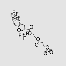 O=C(CCO[N+](=O)[O-])OCCOC(=O)C1=Cc2cc(S(F)(F)(F)(F)F)ccc2O[C@@H]1C(F)(F)F